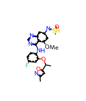 COc1cc(/N=[SH](\C)=O)cc2ncnc(Nc3ccc(F)cc3OC(C)c3cc(C)no3)c12